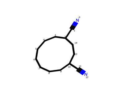 N#CC1CCCCCCCC(C#N)CC1